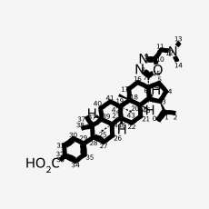 C=C(C)[C@@H]1CC[C@]2(c3nnc(CN(C)C)o3)CC[C@]3(C)[C@H](CC[C@@H]4[C@@]5(C)CC=C(c6ccc(C(=O)O)cc6)C(C)(C)[C@@H]5CC[C@]43C)[C@@H]12